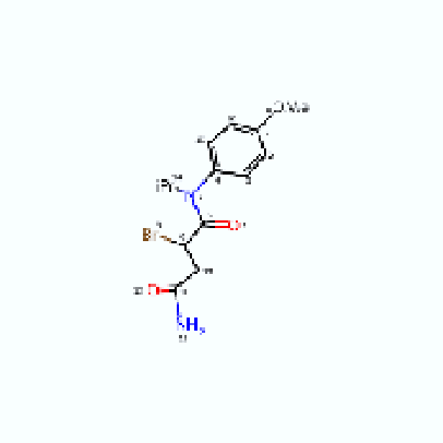 COc1ccc(N(C(=O)C(Br)CC(N)=O)C(C)C)cc1